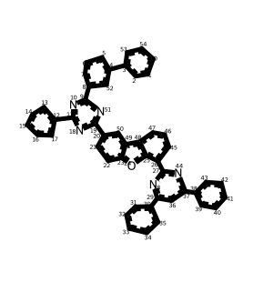 c1ccc(-c2cccc(-c3nc(-c4ccccc4)nc(-c4ccc5oc6c(-c7nc(-c8ccccc8)cc(-c8ccccc8)n7)cccc6c5c4)n3)c2)cc1